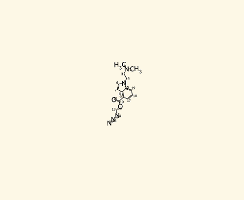 CN(C)CCn1ccc2c(C(=O)OCN=[N+]=[N-])cccc21